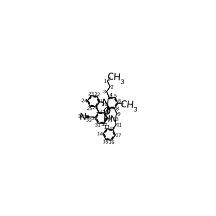 CCCCc1cc(C)c(CNCc2ccccc2)c(=O)n1-c1ccccc1-c1ccccc1C#N